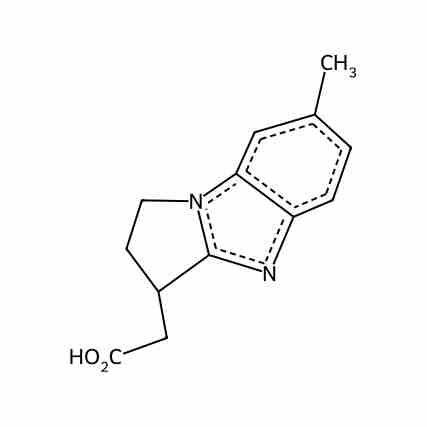 Cc1ccc2nc3n(c2c1)CCC3CC(=O)O